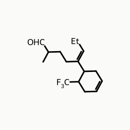 CC/C=C(\CCC(C)C=O)C1CC=CCC1C(F)(F)F